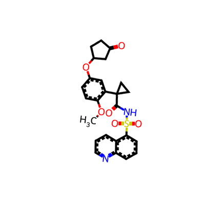 COc1ccc(OC2CCC(=O)C2)cc1C1(C(=O)NS(=O)(=O)c2cccc3ncccc23)CC1